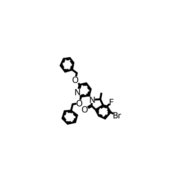 CC1c2c(ccc(Br)c2F)C(=O)N1c1ccc(OCc2ccccc2)nc1OCc1ccccc1